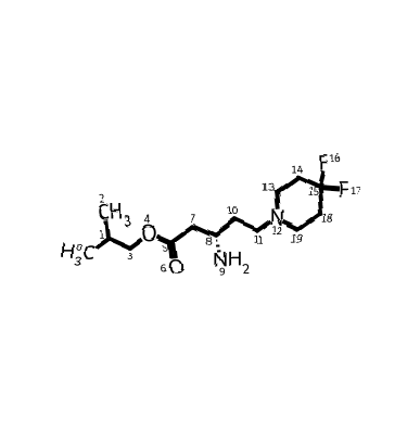 CC(C)COC(=O)C[C@@H](N)CCN1CCC(F)(F)CC1